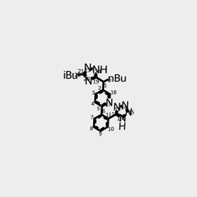 CCCCC(c1ccc(-c2ccccc2-c2nnn[nH]2)nc1)c1nc(C(C)CC)n[nH]1